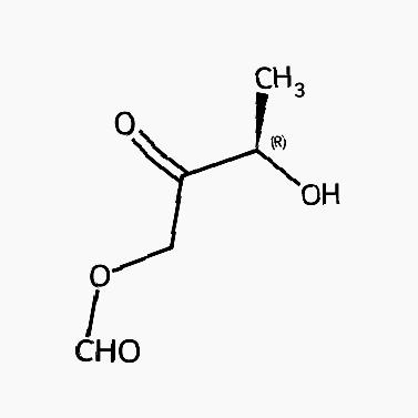 C[C@@H](O)C(=O)COC=O